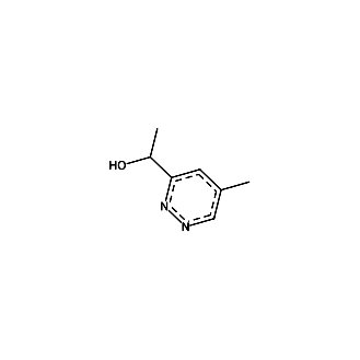 Cc1cnnc(C(C)O)c1